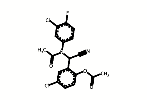 CC(=O)Oc1ccc(Cl)cc1C(C#N)N(C(C)=O)c1ccc(F)c(Cl)c1